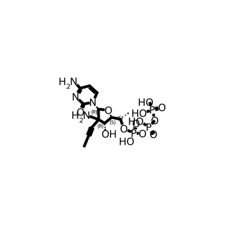 CC#CC1(N)[C@@H](O)[C@@H]([C@H](C)OP(=O)(O)OP(=O)(O)OP(=O)(O)O)O[C@H]1n1ccc(N)nc1=O